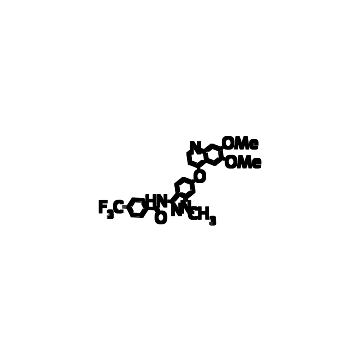 COc1cc2nccc(Oc3ccc4c(NC(=O)c5ccc(C(F)(F)F)cc5)nn(C)c4c3)c2cc1OC